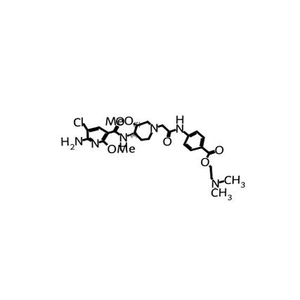 COc1nc(N)c(Cl)cc1C(=O)N[C@@H]1CCN(CC(=O)Nc2ccc(C(=O)OCCN(C)C)cc2)C[C@@H]1OC